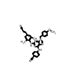 COc1ccc(Cn2cnc3c(Nc4ccc(C#N)cc4)nc(Nc4c(C)cc(/C=C/C#N)cc4C)nc32)cc1